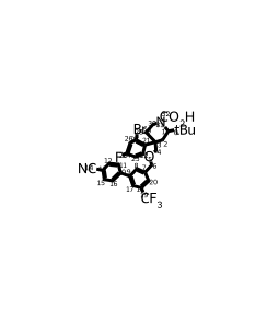 CC(C)(C)C1CC(COCc2cc(-c3ccc(C#N)cc3)cc(C(F)(F)F)c2)(c2ccc(F)cc2Br)CCN1C(=O)O